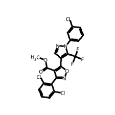 COC(=O)c1c(-c2c(Cl)cccc2Cl)noc1-c1cnn(-c2cccc(Cl)c2)c1C(F)(F)F